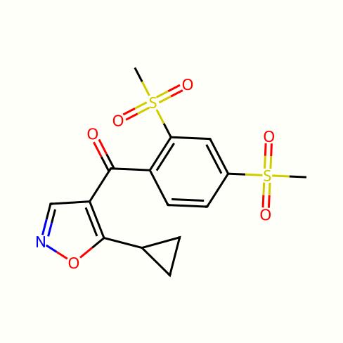 CS(=O)(=O)c1ccc(C(=O)c2cnoc2C2CC2)c(S(C)(=O)=O)c1